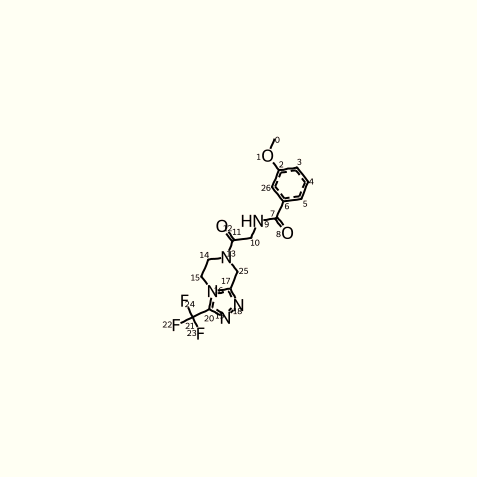 COc1cccc(C(=O)NCC(=O)N2CCn3c(nnc3C(F)(F)F)C2)c1